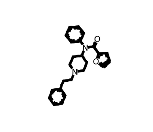 O=C(c1cc#co1)N(c1ccccc1)C1CCN(CCc2ccccc2)CC1